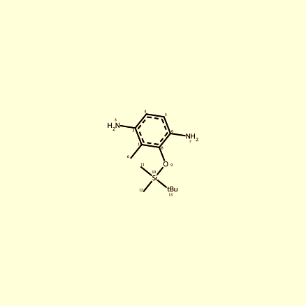 Cc1c(N)ccc(N)c1O[Si](C)(C)C(C)(C)C